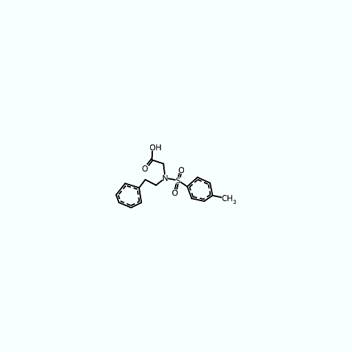 Cc1ccc(S(=O)(=O)N(CCc2ccccc2)CC(=O)O)cc1